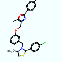 Cc1ccc(-c2nc(COc3cccc(CN4C(C(=O)O)CS[C@@H]4c4ccc(Cl)cc4)c3)c(C)o2)cc1